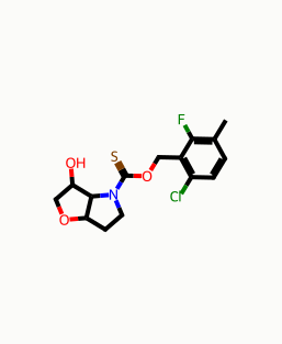 Cc1ccc(Cl)c(COC(=S)N2CCC3OCC(O)C32)c1F